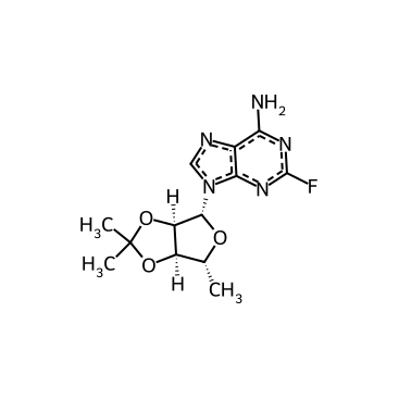 C[C@H]1O[C@@H](n2cnc3c(N)nc(F)nc32)[C@@H]2OC(C)(C)O[C@@H]21